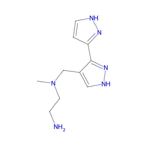 CN(CCN)Cc1c[nH]nc1-c1cc[nH]n1